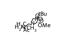 COC(=O)[C@@H]1CN(CCC(C)(C)[C@H](N)C(C)=O)CCN1C(=O)OC(C)(C)C